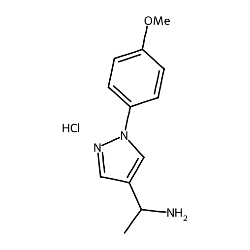 COc1ccc(-n2cc(C(C)N)cn2)cc1.Cl